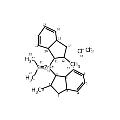 CC1CC2C=CC=CC2[CH]1[Zr+2]([CH]1C(C)CC2C=CC=CC21)=[Si](C)C.[Cl-].[Cl-]